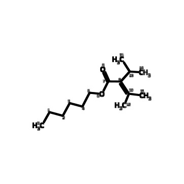 CCCCCCOC(=O)C(=C(C)C)C(C)C